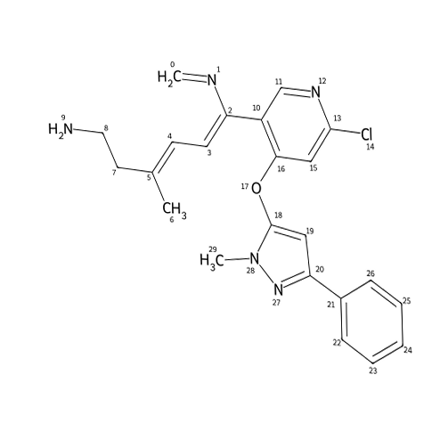 C=N/C(=C\C=C(/C)CCN)c1cnc(Cl)cc1Oc1cc(-c2ccccc2)nn1C